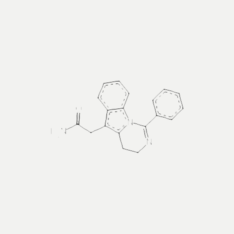 NC(=O)Cc1c2n(c3ccccc13)C(c1ccccc1)=NCC2